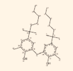 CCCCCC(C)(C)c1cc(C)c(O)c(Cc2cc(C(C)(C)CCCCC)cc(C)c2O)c1